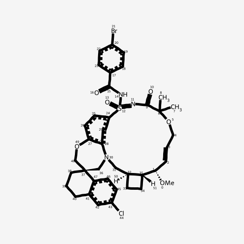 CO[C@H]1/C=C/COC(C)(C)C(=O)N=S(=O)(NC(=O)c2ccc(Br)cc2)c2ccc3c(c2)N(C[C@@H]2CC[C@H]21)C[C@@]1(CCCc2cc(Cl)ccc21)CO3